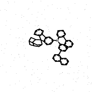 c1ccc(-c2ccccc2N(c2cccc(-c3cccc4ccccc34)c2)c2ccc3c(c2)-c2ccccc2C32C3CC4CC(C3)CC2C4)cc1